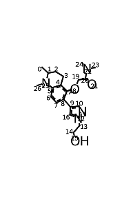 CC1CCc2c(ccc(-c3cnn(CCO)c3)c2OCC(=O)N(C)C)N1C